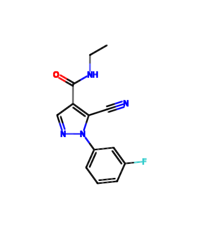 CCNC(=O)c1cnn(-c2cccc(F)c2)c1C#N